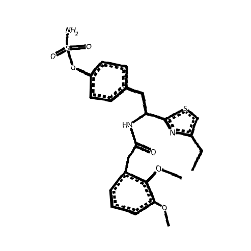 CCc1csc(C(Cc2ccc(OS(N)(=O)=O)cc2)NC(=O)Cc2cccc(OC)c2OC)n1